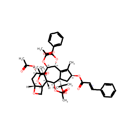 CC(=O)O[C@H]1C[C@H]2OC[C@@]2(OC(C)=O)[C@H]2[C@H](OC(C)=O)[C@]3(C(C)(C)O)C[C@H](OC(=O)/C=C/c4ccccc4)C(C)=C3[C@@H](OC(=O)c3ccccc3)[C@H](OC(C)=O)[C@]12C